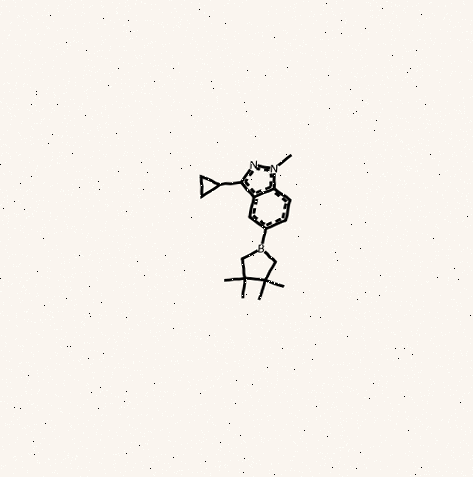 Cn1nc(C2CC2)c2cc(B3CC(C)(C)C(C)(C)C3)ccc21